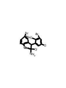 COc1ccc(C(C)=O)cc1C(c1cc(Cl)cc(Br)c1OC)C(N)(Cl)Br